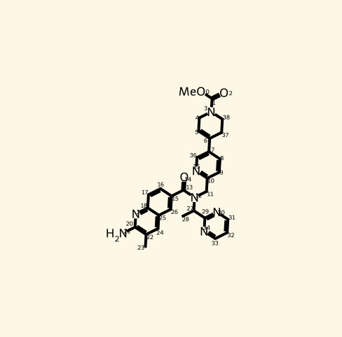 COC(=O)N1CC=C(c2ccc(CN(C(=O)c3ccc4nc(N)c(C)cc4c3)C(C)c3ncccn3)nc2)CC1